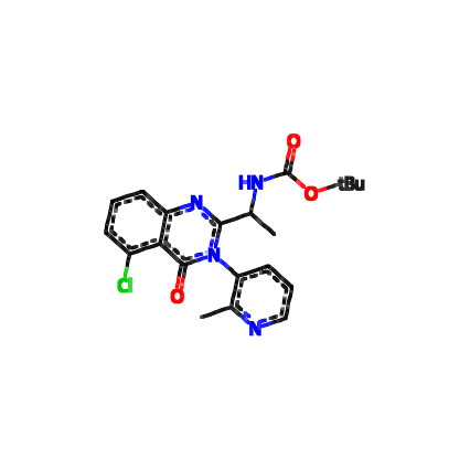 Cc1ncccc1-n1c(C(C)NC(=O)OC(C)(C)C)nc2cccc(Cl)c2c1=O